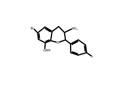 COc1cc(Br)cc2c1OC(c1ccc(F)cc1)C([N+](=O)[O-])C2